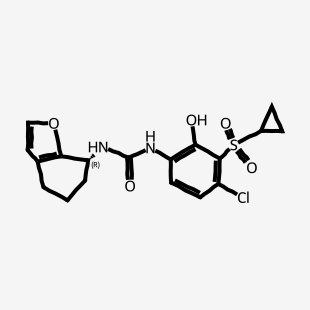 O=C(Nc1ccc(Cl)c(S(=O)(=O)C2CC2)c1O)N[C@@H]1CCCc2ccoc21